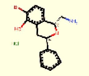 Cl.NC[C@@H]1O[C@@H](c2ccccc2)Cc2c1ccc(Br)c2O